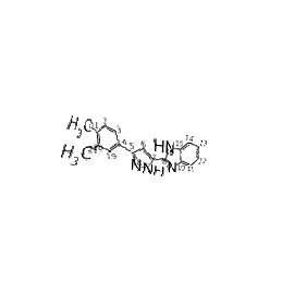 Cc1ccc(-c2cc(-c3nc4ccccc4[nH]3)[nH]n2)cc1C